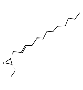 CCCCCCCC=CCC=CC[C@H]1O[C@H]1CC